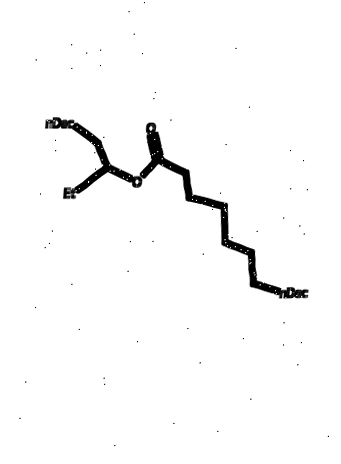 CCCCCCCCCCCCCCCCC(=O)OC(CC)CCCCCCCCCCC